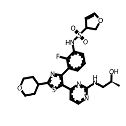 C[C@H](O)CNc1nccc(-c2sc(C3CCOCC3)nc2-c2cccc(NS(=O)(=O)C3C=COC3)c2F)n1